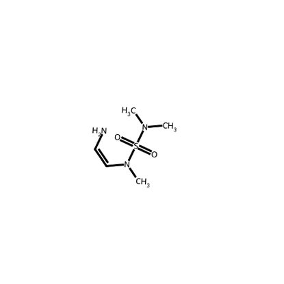 CN(C)S(=O)(=O)N(C)/C=C\N